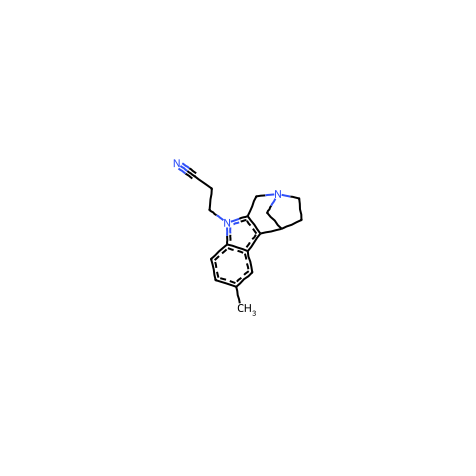 Cc1ccc2c(c1)c1c(n2CCC#N)CN2CCC1C2